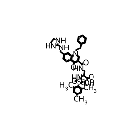 Cc1cc(C)c(S(=O)(=O)NC(CNC(=O)c2cn(CCc3ccccc3)c3cc(CNC4NCCN4)ccc3c2=O)C(=O)O)c(C)c1